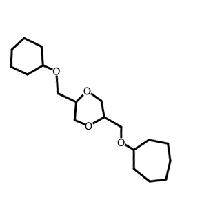 C1CCCC(OCC2COC(COC3CCCCC3)CO2)CC1